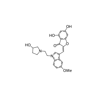 COc1ccc2c(c1)c(C=C1Oc3cc(O)cc(O)c3C1=O)cn2CCN1CCC(O)C1